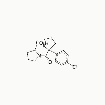 O=C(O)C1CCCN1C(=O)C1(c2ccc(Cl)cc2)CCCC1